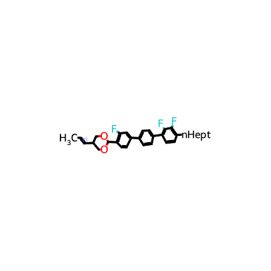 C/C=C/C1COC(c2ccc(-c3ccc(-c4ccc(CCCCCCC)c(F)c4F)cc3)cc2F)OC1